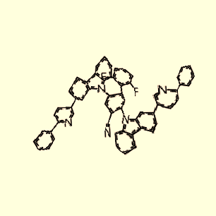 N#Cc1cc(-n2c3ccccc3c3ccc(-c4ccc(-c5ccccc5)nc4)cc32)c(-c2c(F)cccc2F)cc1-n1c2ccccc2c2ccc(-c3ccc(-c4ccccc4)nc3)cc21